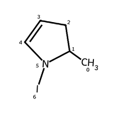 CC1CC=CN1I